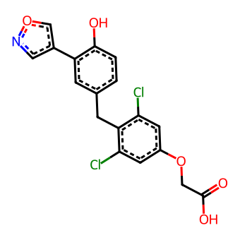 O=C(O)COc1cc(Cl)c(Cc2ccc(O)c(-c3cnoc3)c2)c(Cl)c1